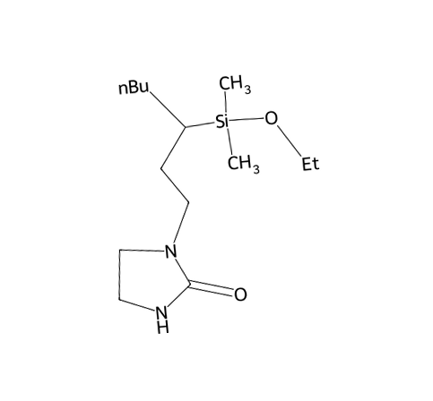 CCCCC(CCN1CCNC1=O)[Si](C)(C)OCC